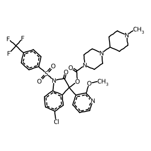 COc1ncccc1C1(OC(=O)N2CCN(C3CCN(C)CC3)CC2)C(=O)N(S(=O)(=O)c2ccc(C(F)(F)F)cc2)c2ccc(Cl)cc21